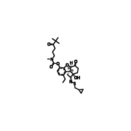 CCc1ccc(OC(=O)N(C)CCCC(=O)C(C)(C)C)c2c1[C@]13CC(=NSCC4CC4)[C@]1(O)CCC(=O)[C@@H]3O2